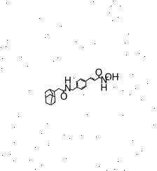 O=C(C=Cc1ccc(CNC(=O)CC2C3CC4CC(C3)CC2C4)cc1)NO